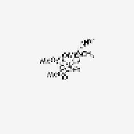 CCc1cc(C(=O)OC)c(=O)n(Cc2ccc(OC)cc2OC)c1-c1ccc2c(c1)cc(CCN=[N+]=[N-])n2C